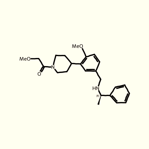 COCC(=O)N1CCC(c2cc(CN[C@H](C)c3ccccc3)ccc2OC)CC1